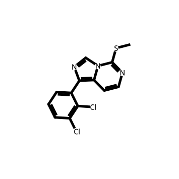 CSc1nccc2c(-c3cccc(Cl)c3Cl)ncn12